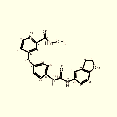 CNC(=O)c1cc(Oc2ccc(NC(=O)Nc3ccc4c(c3)CCO4)cc2)ccn1